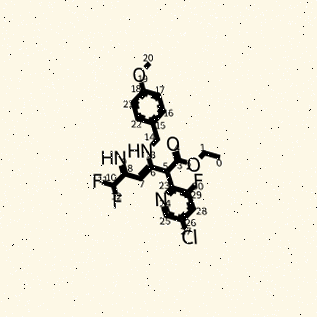 CCOC(=O)C(/C(=C/C(=N)C(F)F)NCc1ccc(OC)cc1)c1ncc(Cl)cc1F